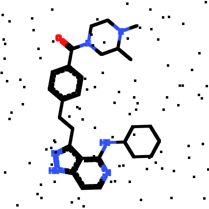 CC1CN(C(=O)c2ccc(CCc3n[nH]c4ccnc(NC5CCCCC5)c34)cc2)CCN1C